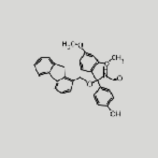 COc1ccc(C(NC=O)(OCc2cccc3c2Cc2ccccc2-3)c2ccc(O)cc2)c(OC)c1